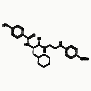 CCCc1ccc(C(=O)N[C@@H](CC2CCCCC2)C(=O)NCCNc2ccc(OC)cc2)cc1